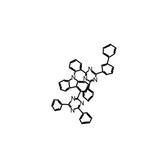 c1ccc(-c2cccc(-c3nc(-c4ccccc4)nc(-c4ccccc4-n4c5ccccc5c5c(-c6nc(-c7ccccc7)nc(-c7ccccc7)n6)cccc54)n3)c2)cc1